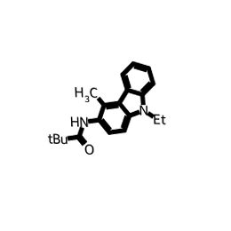 CCn1c2ccccc2c2c(C)c(NC(=O)C(C)(C)C)ccc21